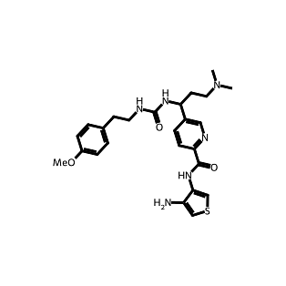 COc1ccc(CCNC(=O)NC(CCN(C)C)c2ccc(C(=O)Nc3cscc3N)nc2)cc1